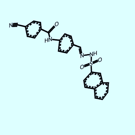 N#Cc1ccc(C(=O)Nc2ccc(C=NNS(=O)(=O)c3ccc4ccccc4c3)cc2)cc1